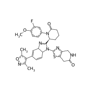 COc1ccc(N2C(=O)CCC[C@H]2C2=NC3C=C(c4c(C)noc4C)C=CC3N2c2nc3c(s2)CC(=O)NC3)cc1F